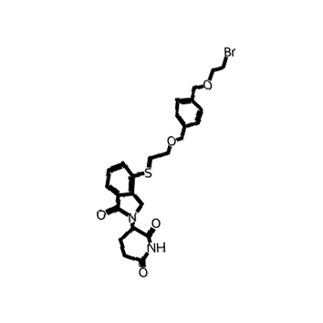 O=C1CCC(N2Cc3c(SCCOCc4ccc(COCCBr)cc4)cccc3C2=O)C(=O)N1